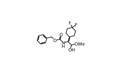 COC(O)C(NC(=O)OCc1ccccc1)=C1CCC(F)(F)CC1